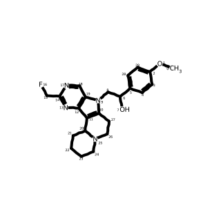 COc1ccc(C(O)Cn2c3c(c4nc(CF)ncc42)C2CCCCN2CC3)cc1